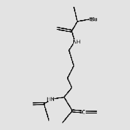 C=C=C(C)C(CCCCNC(=C)C(C)C(C)(C)C)NC(=C)C